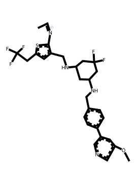 C/C=N\c1sc(CC(F)(F)F)cc1CNC1CC(NCc2ccc(-c3cncc(OC)c3)cc2)CC(F)(F)C1